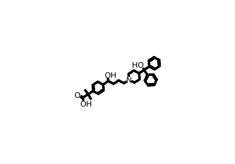 CC(C)(C(=O)O)C1=CCC(C(O)CCCN2CCC(C(O)(c3ccccc3)c3ccccc3)CC2)C=C1